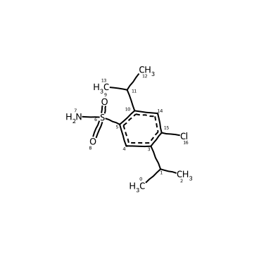 CC(C)c1cc(S(N)(=O)=O)c(C(C)C)cc1Cl